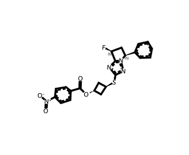 O=C(O[C@H]1C[C@H](Sc2nc3n(n2)[C@H](c2ccccc2)C[C@@H]3F)C1)c1ccc([N+](=O)[O-])cc1